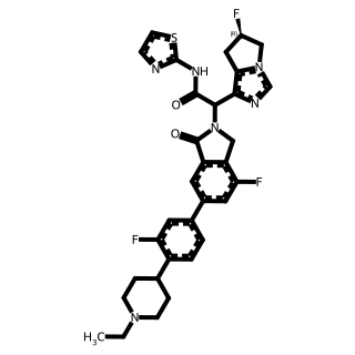 CCN1CCC(c2ccc(-c3cc(F)c4c(c3)C(=O)N(C(C(=O)Nc3nccs3)c3ncn5c3C[C@@H](F)C5)C4)cc2F)CC1